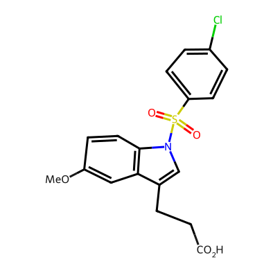 COc1ccc2c(c1)c(CCC(=O)O)cn2S(=O)(=O)c1ccc(Cl)cc1